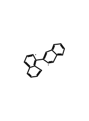 [c]1cc2ccccc2cc1-c1[c]ccc2ccccc12